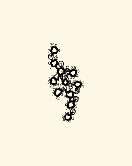 c1ccc(Oc2ccc3c(c2)oc2c4c5c(cc23)N(c2ccccc2)c2cc3c(cc2B5c2ccccc2S4)B2c4ccccc4Sc4c2c(cc2c4oc4cc(Oc5ccccc5)ccc42)N3c2ccccc2)cc1